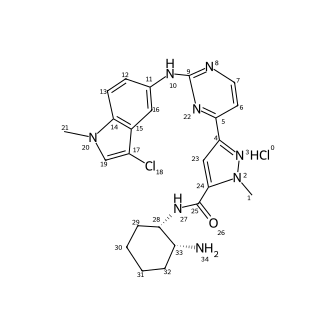 Cl.Cn1nc(-c2ccnc(Nc3ccc4c(c3)c(Cl)cn4C)n2)cc1C(=O)N[C@H]1CCCC[C@H]1N